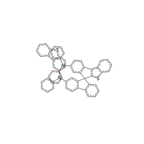 c1ccc(N(c2ccccc2)c2ccc3c(c2)C2(c4ccccc4-c4ccc(N(c5ccccc5)c5ccc6sc7ccccc7c6c5)cc42)c2sc4ccccc4c2-3)cc1